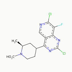 C[C@H]1CC(c2nc(Cl)nc3c(F)c(Cl)ncc23)CCN1C(=O)O